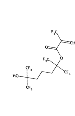 C=C(C(=O)OC(CCCC(O)(C(F)(F)F)C(F)(F)F)(C(F)(F)F)C(F)(F)F)C(F)(F)F